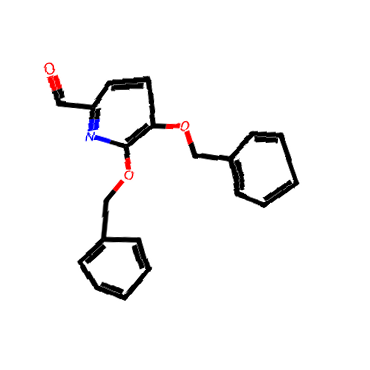 O=Cc1ccc(OCc2ccccc2)c(OCc2ccccc2)n1